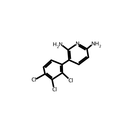 Nc1ccc(-c2ccc(Cl)c(Cl)c2Cl)c(N)n1